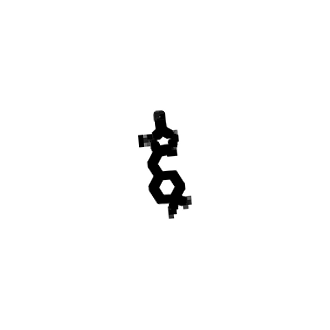 O=c1[nH]c(CC2CCC(F)(F)CC2)ns1